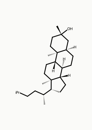 CC(C)CC[C@@H](C)[C@H]1CC[C@H]2[C@@H]3CC[C@@H]4C[C@@](C)(O)CC[C@]4(C)[C@H]3CC[C@]12C